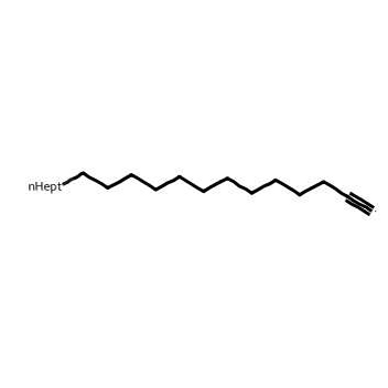 [C]#CCCCCCCCCCCCCCCCCC[CH2]